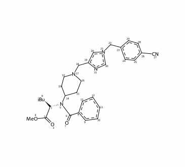 CC[C@H](C)[C@@H](C(=O)OC)N(C(=O)c1ccccc1)C1CCN(Cc2cn(Cc3ccc(C#N)cc3)cn2)CC1